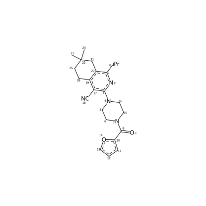 CC(C)c1nc(N2CCN(C(=O)c3ccco3)CC2)c(C#N)c2c1CC(C)(C)CC2